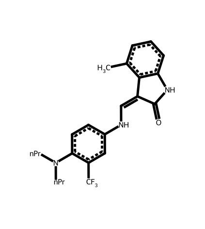 CCCN(CCC)c1ccc(NC=C2C(=O)Nc3cccc(C)c32)cc1C(F)(F)F